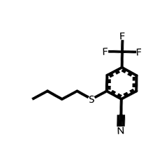 CCCCSc1cc(C(F)(F)F)ccc1C#N